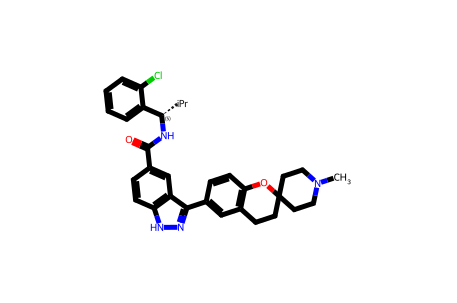 CC(C)[C@H](NC(=O)c1ccc2[nH]nc(-c3ccc4c(c3)CCC3(CCN(C)CC3)O4)c2c1)c1ccccc1Cl